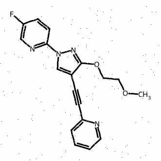 COCCOc1nn(-c2ccc(F)cn2)cc1C#Cc1ccccn1